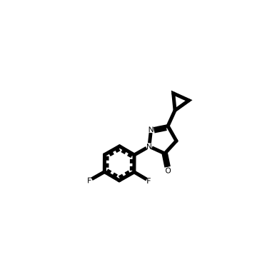 O=C1CC(C2CC2)=NN1c1ccc(F)cc1F